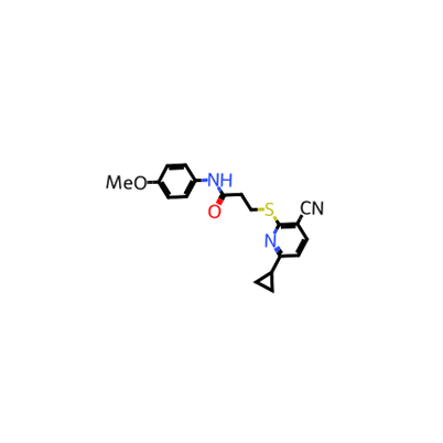 COc1ccc(NC(=O)CCSc2nc(C3CC3)ccc2C#N)cc1